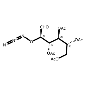 CC(=O)OC[C@@H](OC(C)=O)[C@H](OC(C)=O)[C@H](OC(C)=O)[C@H](C=O)ON=[N+]=[N-]